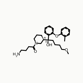 COCCCC[C@@](O)(c1ccccc1Oc1ccccc1C)[C@@H]1CCCN(C(=O)CCCN)C1